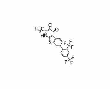 Cc1[nH]c2sc3cc(-c4ccc(C(F)(F)F)cc4C(F)(F)F)ccc3c2c(=O)c1Cl